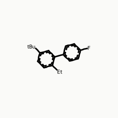 CCc1ccc(C(C)(C)C)cc1-c1ccc(F)cc1